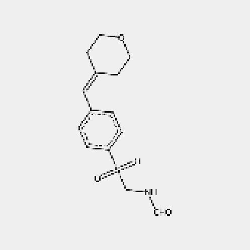 O=CNCS(=O)(=O)c1ccc(C=C2CCOCC2)cc1